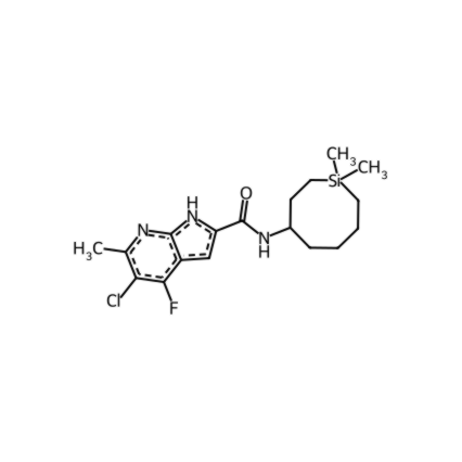 Cc1nc2[nH]c(C(=O)NC3CCCC[Si](C)(C)CC3)cc2c(F)c1Cl